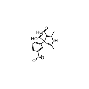 CC1=CC(C(=O)O)(c2cccc([N+](=O)[O-])c2)C(C(=O)O)=C(C)N1